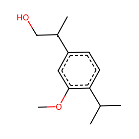 COc1cc([C](C)CO)ccc1C(C)C